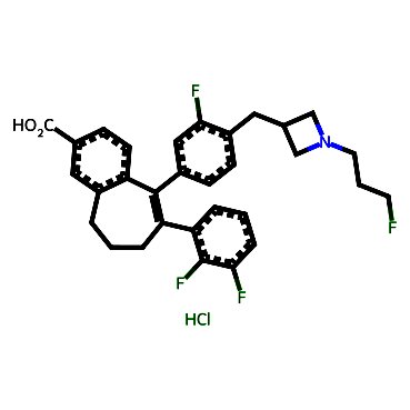 Cl.O=C(O)c1ccc2c(c1)CCCC(c1cccc(F)c1F)=C2c1ccc(CC2CN(CCCF)C2)c(F)c1